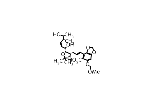 COCOc1cc2c(c(/C=C/C[C@@H]3OC(C)(C)O[C@@H]3C(O)/C=C\[C@@H](C)[C@H](C)O)c1C(=O)O)OCO2